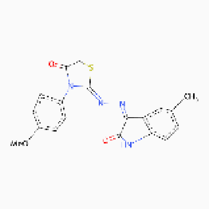 COc1ccc(N2C(=O)CSC2=NN=C2C(=O)Nc3ccc(C)cc32)cc1